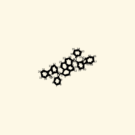 C1=CC(N(c2ccccc2)c2cccc3c2sc2ccccc23)C2C=Cc3ccc(N(c4ccccc4)c4cccc5c4sc4ccccc45)c4ccc1c2c34